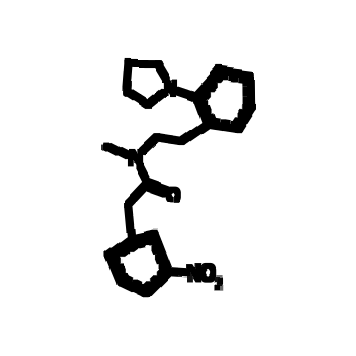 CN(CCc1ccccc1N1CCCC1)C(=O)Cc1cccc([N+](=O)[O-])c1